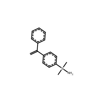 C=C(c1ccccc1)c1ccc([Si](C)(C)N)cc1